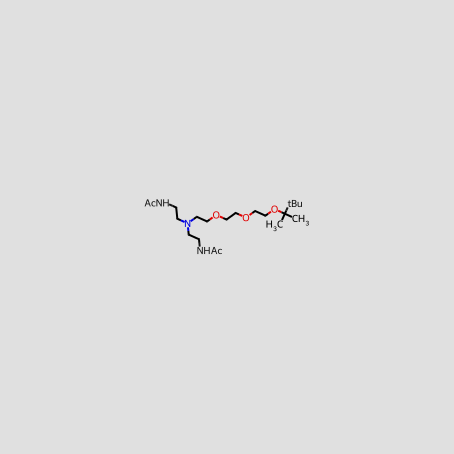 CC(=O)NCCN(CCNC(C)=O)CCOCCOCCOC(C)(C)C(C)(C)C